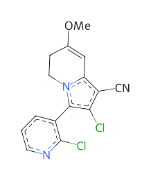 COC1=Cc2c(C#N)c(Cl)c(-c3cccnc3Cl)n2CC1